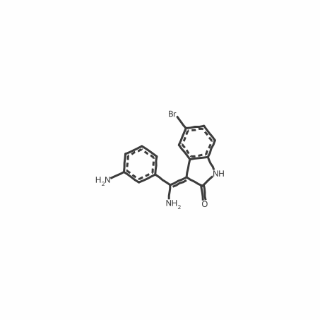 N/C(=C1\C(=O)Nc2ccc(Br)cc21)c1cccc(N)c1